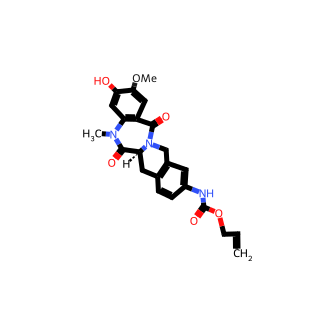 C=CCOC(=O)Nc1ccc2c(c1)CN1C(=O)c3cc(OC)c(O)cc3N(C)C(=O)[C@@H]1C2